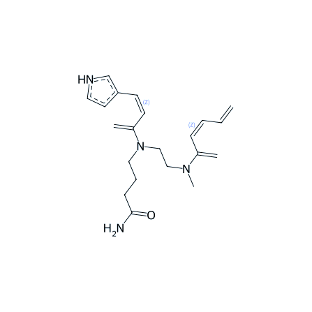 C=C/C=C\C(=C)N(C)CCN(CCCC(N)=O)C(=C)/C=C\c1cc[nH]c1